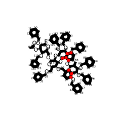 CC(=O)O[C@H]1C(OCc2ccccc2)[C@@H](F)OC(CO[C@H]2OC(COCc3ccccc3)[C@@H](OCc3ccccc3)[C@@H](OCc3ccccc3)C2O[C@H]2OC(CO[C@@H]3OC(COCc4ccccc4)[C@@H](OCc4ccccc4)[C@H](OCc4ccccc4)C3C)[C@@H](OCc3ccccc3)[C@H](OCc3ccccc3)C2OCc2ccccc2)[C@H]1OCc1ccccc1